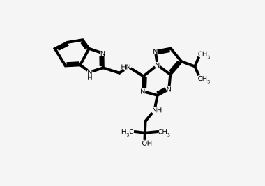 CC(C)c1cnn2c(NCc3nc4ccccc4[nH]3)nc(NCC(C)(C)O)nc12